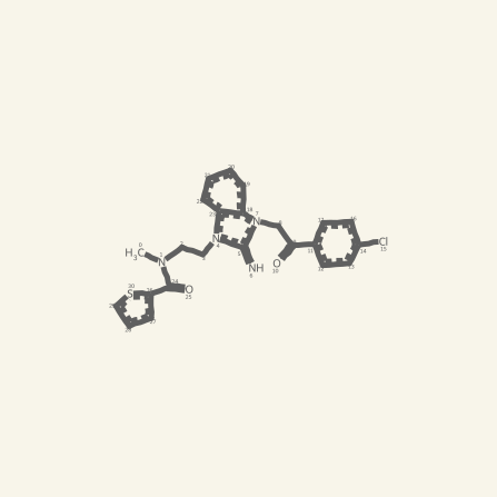 CN(CCn1c(=N)n(CC(=O)c2ccc(Cl)cc2)c2ccccc21)C(=O)c1cccs1